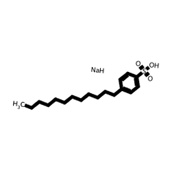 CCCCCCCCCCCCc1ccc(S(=O)(=O)O)cc1.[NaH]